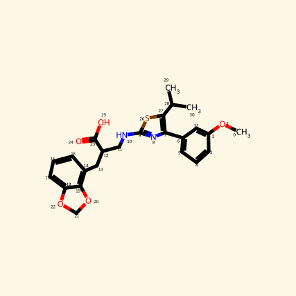 COc1cccc(-c2nc(NCC(Cc3cccc4c3OCO4)C(=O)O)sc2C(C)C)c1